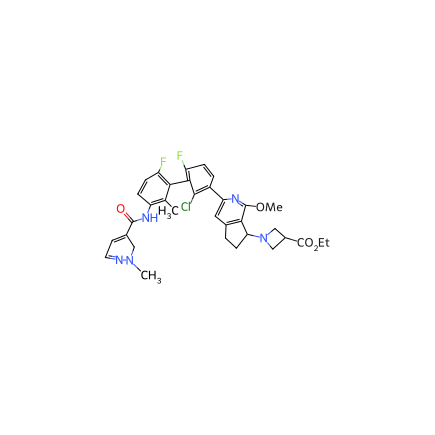 CCOC(=O)C1CN(C2CCc3cc(-c4ccc(F)c(-c5c(F)ccc(NC(=O)C6=CC=NN(C)C6)c5C)c4Cl)nc(OC)c32)C1